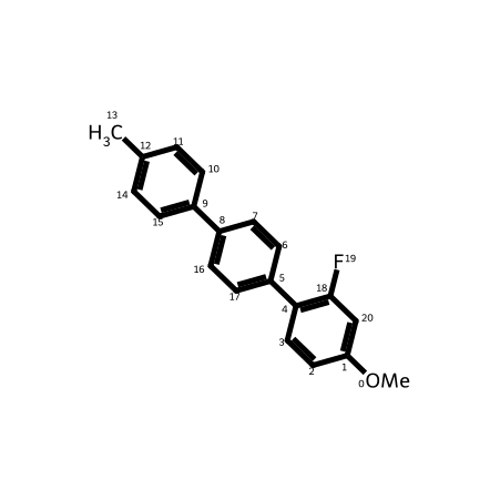 COc1ccc(-c2ccc(-c3ccc(C)cc3)cc2)c(F)c1